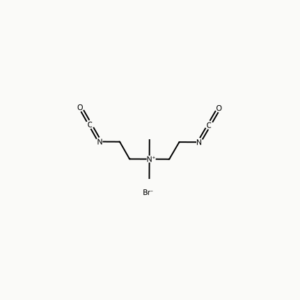 C[N+](C)(CCN=C=O)CCN=C=O.[Br-]